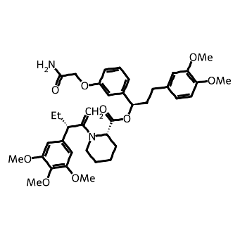 C=C([C@@H](CC)c1cc(OC)c(OC)c(OC)c1)N1CCCC[C@H]1C(=O)O[C@H](CCc1ccc(OC)c(OC)c1)c1cccc(OCC(N)=O)c1